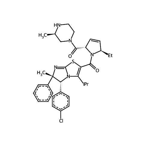 CC[C@@H]1C=C[C@@H](C(=O)N2CCN[C@H](C)C2)N1C(=O)C1=C(C(C)C)N2C(=N[C@@](C)(c3ccccc3)[C@H]2c2ccc(Cl)cc2)S1